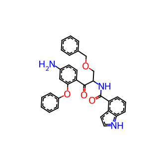 Nc1ccc(C(=O)C(COCc2ccccc2)NC(=O)c2cccc3[nH]ccc23)c(Oc2ccccc2)c1